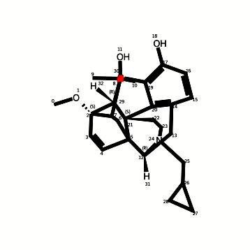 CO[C@@]12C=CC3(CC1C(C)(C)O)[C@H]1Cc4ccc(O)c5c4[C@@]3(CCN1CC1CC1)[C@H]2O5